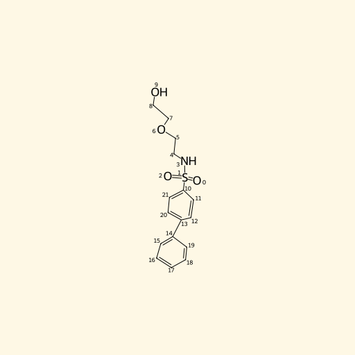 O=S(=O)(NCCOCCO)c1ccc(-c2ccccc2)cc1